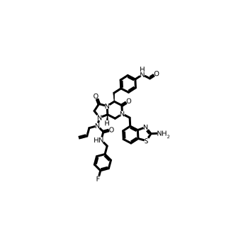 C=CCN(C(=O)NCc1ccc(F)cc1)N1CC(=O)N2[C@@H](Cc3ccc(NC=O)cc3)C(=O)N(Cc3cccc4sc(N)nc34)C[C@@H]21